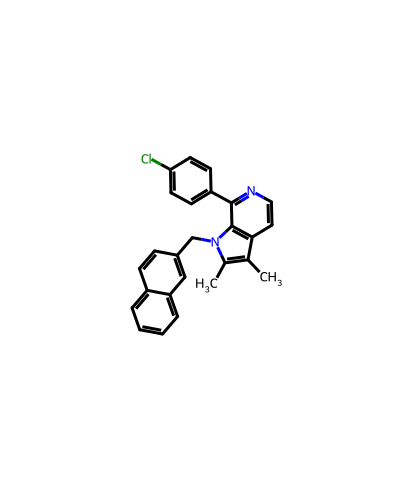 Cc1c(C)n(Cc2ccc3ccccc3c2)c2c(-c3ccc(Cl)cc3)nccc12